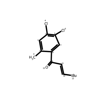 Cc1cc(Cl)c(Cl)cc1C(=O)C=CC(C)(C)C